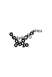 CCCCCCc1ccc(C(=O)OC2CCN(c3cc4c5c(c6c(c4cc3OC)OC(c3ccccc3)(c3ccc(N4CCN(c7ccccc7)CC4)cc3)C=C6)C(C)(C)c3ccccc3-5)CC2)cc1